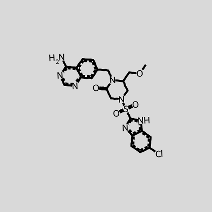 COCC1CN(S(=O)(=O)c2nc3ccc(Cl)cc3[nH]2)CC(=O)N1Cc1ccc2c(N)ncnc2c1